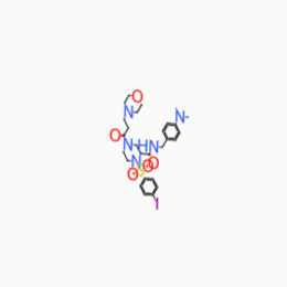 CN(C)c1ccc(CNC(=O)C2CN(C(=O)CCN3CCOCC3)CCN2S(=O)(=O)c2ccc(I)cc2)cc1